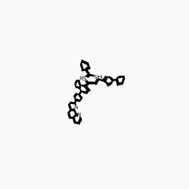 C1=C(c2ccc(-c3ccc(-c4ccc5ccc6cccnc6c5n4)cc3)c3ccccc23)[SH]=C(c2ccccc2)[SH]=C1c1ccc(-c2ccccc2)cc1